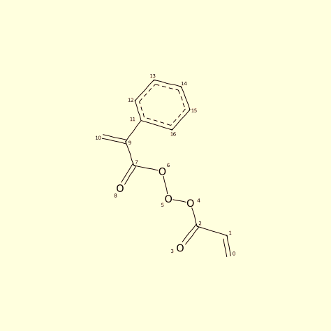 C=CC(=O)OOOC(=O)C(=C)c1ccccc1